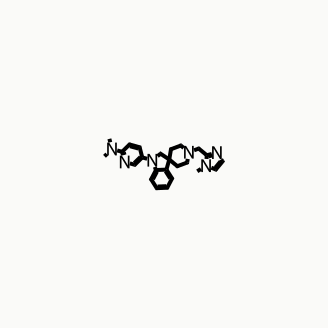 CN(C)c1ccc(N2CC3(CCN(Cc4nccn4C)CC3)c3ccccc32)cn1